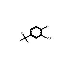 CCOC(=O)c1nc(C(C)(F)F)ccc1Br